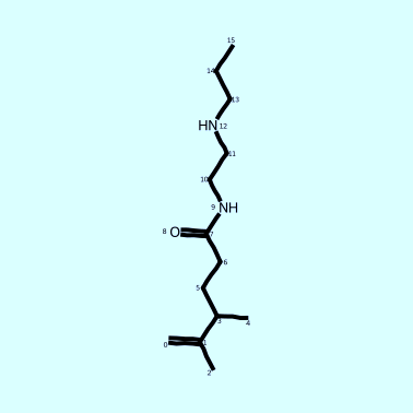 C=C(C)C(C)CCC(=O)NCCNCCC